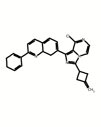 C=C1CC(c2nc(C3=CC=C4C=CC(C5=CCCC=C5)=NC4C3)c3c(Cl)nccn23)C1